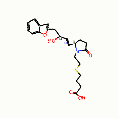 O=C(O)CCCSCCN1C(=O)CC[C@@H]1/C=C/[C@@H](O)Cc1cc2ccccc2o1